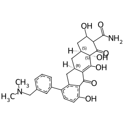 CN(C)Cc1cccc(-c2ccc(O)c3c2C[C@H]2C[C@H]4CC(O)C(C(N)=O)C(=O)[C@@]4(O)C(O)=C2C3=O)c1